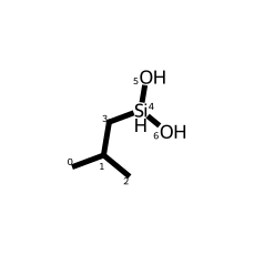 CC(C)C[SiH](O)O